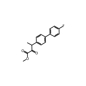 COC(=O)C(=O)C(C)c1ccc(-c2ccc(F)cc2)cc1